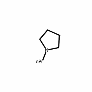 CCCN1C[CH]CC1